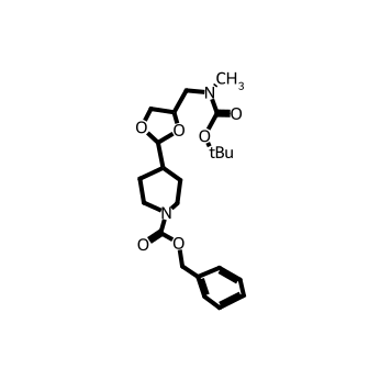 CN(CC1COC(C2CCN(C(=O)OCc3ccccc3)CC2)O1)C(=O)OC(C)(C)C